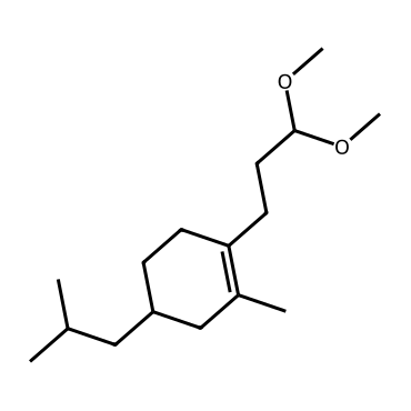 COC(CCC1=C(C)CC(CC(C)C)CC1)OC